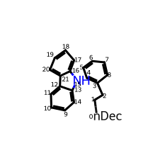 CCCCCCCCCCCCc1ccccc1.c1ccc2c(c1)[nH]c1ccccc12